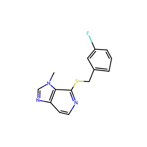 Cn1cnc2ccnc(SCc3cccc(F)c3)c21